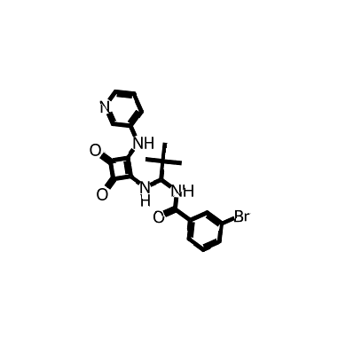 CC(C)(C)C(NC(=O)c1cccc(Br)c1)Nc1c(Nc2cccnc2)c(=O)c1=O